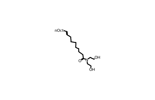 CCCCCCCCC=CCCCCCCCC(=O)N(CCO)CCO